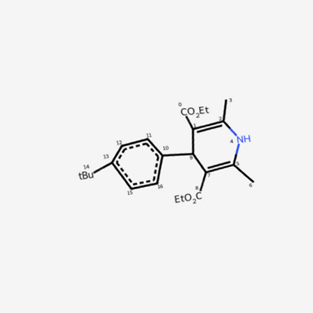 CCOC(=O)C1=C(C)NC(C)=C(C(=O)OCC)C1c1ccc(C(C)(C)C)cc1